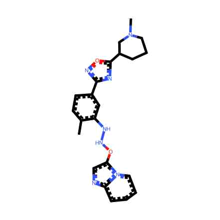 Cc1ccc(-c2noc(C3CCCN(C)C3)n2)cc1NNOc1cnc2ccccn12